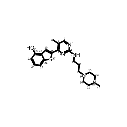 Cc1cnc(NCCCN2CCN(C)CC2)nc1-c1cc2c(O)cccc2s1